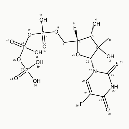 CC1(O)[C@@H](O)[C@@](F)(COP(=O)(O)OP(=O)(O)OP(=O)(O)O)O[C@H]1n1cc(F)c(=O)[nH]c1=S